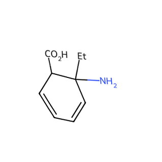 CCC1(N)C=CC=CC1C(=O)O